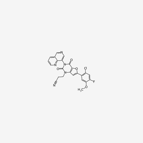 COc1cc(-c2cc3c(o2)c(=O)n(-c2cncc4cccnc24)c(=O)n3CCC#N)c(Cl)cc1F